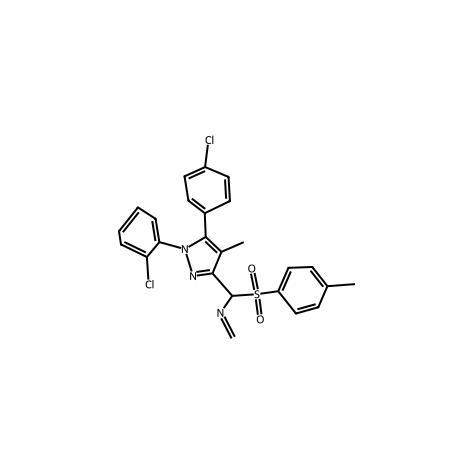 C=NC(c1nn(-c2ccccc2Cl)c(-c2ccc(Cl)cc2)c1C)S(=O)(=O)c1ccc(C)cc1